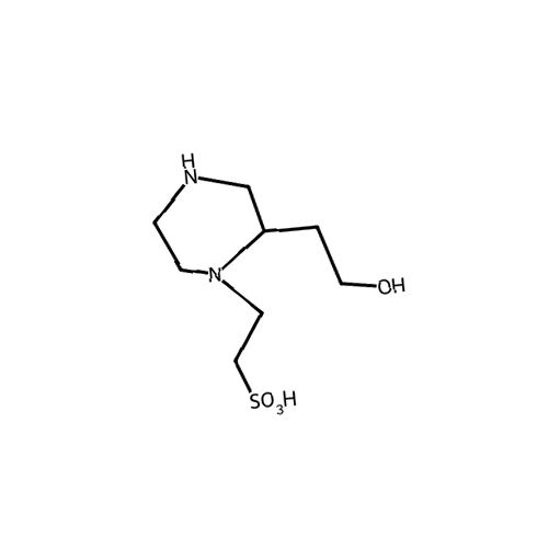 O=S(=O)(O)CCN1CCNCC1CCO